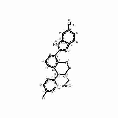 COC[C@H]1COc2c(-c3nc4ccc(C(F)(F)F)cc4[nH]3)cccc2N1c1ccc(C)cn1